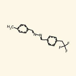 Cc1ccc(C=NN=Cc2ccc(CC(F)(F)F)cc2)cc1